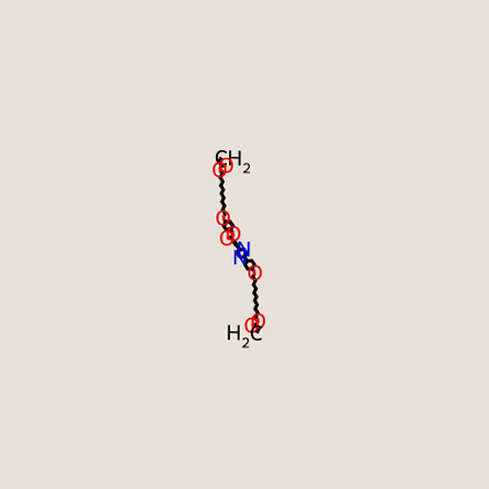 C=CC(=O)OCCCCCCCCCCCOc1ccc(OC(=O)C#Cc2cnc(C3CCC(OCCCCCCCCCCCOC(=O)C=C)CC3)cn2)cc1